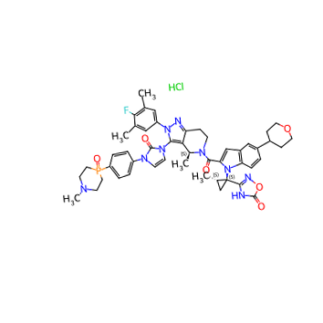 Cc1cc(-n2nc3c(c2-n2ccn(-c4ccc(P5(=O)CCN(C)CC5)cc4)c2=O)[C@H](C)N(C(=O)c2cc4cc(C5CCOCC5)ccc4n2[C@@]2(c4noc(=O)[nH]4)C[C@@H]2C)CC3)cc(C)c1F.Cl